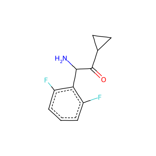 NC(C(=O)C1CC1)c1c(F)cccc1F